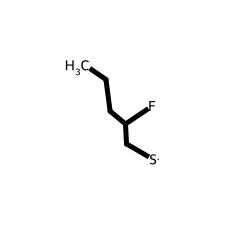 CCCC(F)C[S]